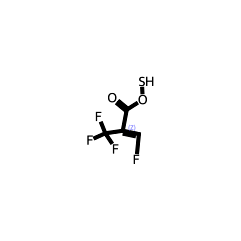 O=C(OS)/C(=C/F)C(F)(F)F